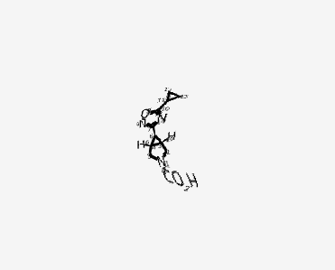 O=C(O)N1C[C@@H]2[C@H](C1)[C@H]2c1noc(C2CC2)n1